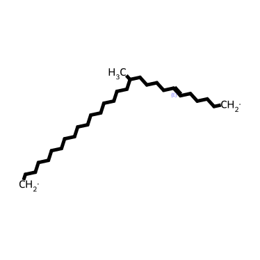 [CH2]CCCC/C=C/CCCCC(C)CCCCCCCCCCCCCCCC[CH2]